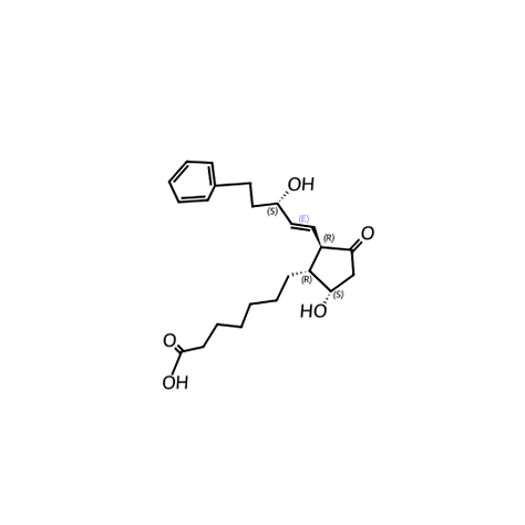 O=C(O)CCCCCC[C@H]1[C@@H](O)CC(=O)[C@@H]1/C=C/[C@@H](O)CCc1ccccc1